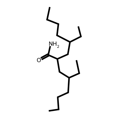 CCCCC(CC)CC(CC(CC)CCCC)C(N)=O